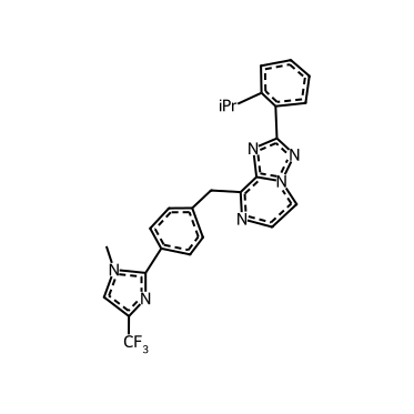 CC(C)c1ccccc1-c1nc2c(Cc3ccc(-c4nc(C(F)(F)F)cn4C)cc3)nccn2n1